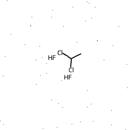 CC(Cl)Cl.F.F